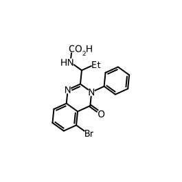 CCC(NC(=O)O)c1nc2cccc(Br)c2c(=O)n1-c1ccccc1